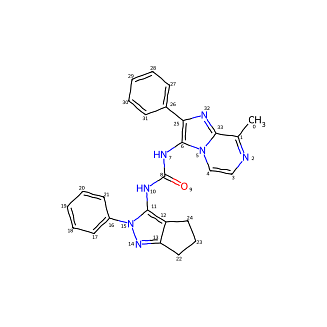 Cc1nccn2c(NC(=O)Nc3c4c(nn3-c3ccccc3)CCC4)c(-c3ccccc3)nc12